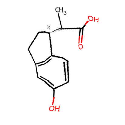 CC(C(=O)O)[C@H]1CCc2cc(O)ccc21